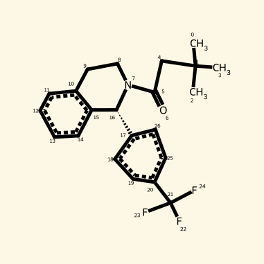 CC(C)(C)CC(=O)N1CCc2ccccc2[C@H]1c1ccc(C(F)(F)F)cc1